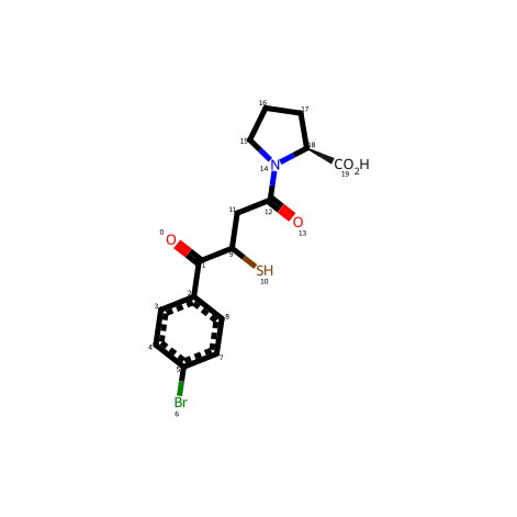 O=C(c1ccc(Br)cc1)C(S)CC(=O)N1CCC[C@H]1C(=O)O